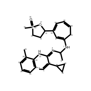 C/C=C(\C(=N/C(C)NC1=CC(C2CCP(C)(=O)O2)=CC=CC1)Nc1ccccc1C)C1CC1